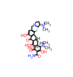 CN(C)[C@H]1CCN(Cc2cc(O)c3c(c2F)C[C@H]2C[C@H]4[C@H](N(C)C)C(O)=C(C(N)=O)C(=O)[C@@]4(O)C(O)=C2C3=O)C1